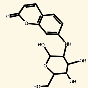 O=c1ccc2ccc(NC3C(O)OC(CO)[C@H](O)C3O)cc2o1